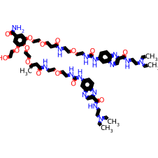 CCN(CC)CCNC(=O)c1cnc2cc(NC(=O)NCCOCCNC(=O)CCOCCOc3cc(C(N)=O)cc(OCCO)c3OCCOC(C)CC(=O)NCCOCCNC(=O)Nc3ccc4nc(C(=O)NCCN(CC)CC)cnc4c3)ccc2n1